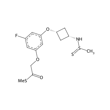 CSC(=O)COc1cc(F)cc(O[C@H]2C[C@@H](NS(C)=S)C2)c1